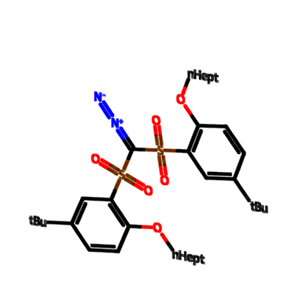 CCCCCCCOc1ccc(C(C)(C)C)cc1S(=O)(=O)C(=[N+]=[N-])S(=O)(=O)c1cc(C(C)(C)C)ccc1OCCCCCCC